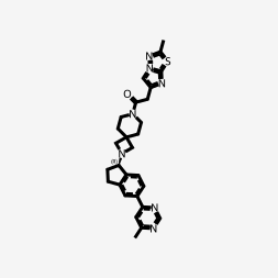 Cc1cc(-c2ccc3c(c2)CC[C@H]3N2CC3(CCN(C(=O)Cc4cn5nc(C)sc5n4)CC3)C2)ncn1